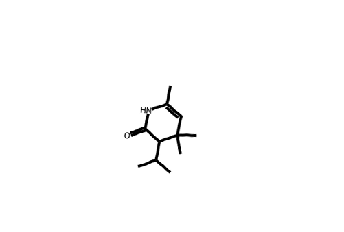 CC1=CC(C)(C)C(C(C)C)C(=O)N1